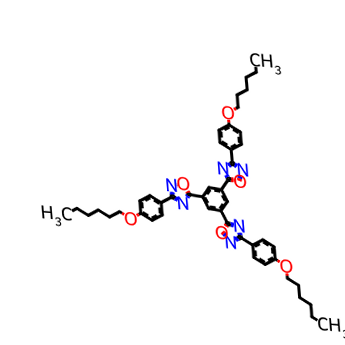 CCCCCCOc1ccc(-c2noc(-c3cc(-c4nc(-c5ccc(OCCCCCC)cc5)no4)cc(-c4nc(-c5ccc(OCCCCCC)cc5)no4)c3)n2)cc1